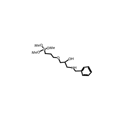 CO[Si](CCCOCC(O)CNCc1ccccc1)(OC)OC